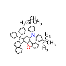 CC(C)(C)c1ccc(N(c2ccc([Si](C)(C)C)cc2)c2cc3c(c4oc5ccccc5c24)-c2c(ccc4ccccc24)C3(c2ccccc2)c2ccccc2)cc1